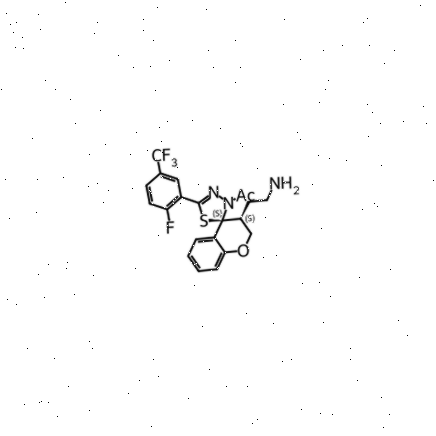 CC(=O)N1N=C(c2cc(C(F)(F)F)ccc2F)S[C@@]12c1ccccc1OC[C@@H]2CCN